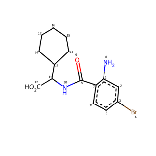 Nc1cc(Br)ccc1C(=O)NC(C(=O)O)C1CCCCC1